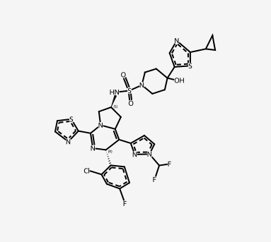 O=S(=O)(N[C@H]1CC2=C(c3ccn(C(F)F)n3)[C@H](c3ccc(F)cc3Cl)N=C(c3nccs3)N2C1)N1CCC(O)(c2cnc(C3CC3)s2)CC1